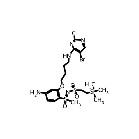 C[Si](C)(C)CCS(=O)(=O)N=S(C)(=O)c1ccc(N)cc1OCCCCNc1nc(Cl)ncc1Br